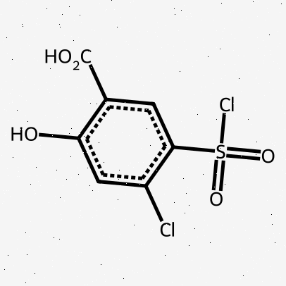 O=C(O)c1cc(S(=O)(=O)Cl)c(Cl)cc1O